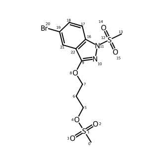 CS(=O)(=O)OCCCOc1nn(S(C)(=O)=O)c2ccc(Br)cc12